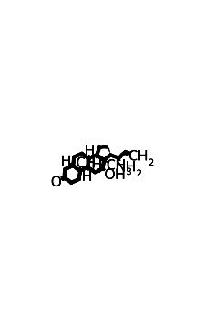 C=C[C@@H](N)[C@H]1CC[C@H]2[C@@H]3CC[C@@H]4CC(=O)CC[C@]4(C)[C@H]3C[C@H](O)[C@]12C